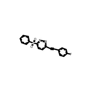 O=S(=O)(c1ccccc1)c1ccc(C#Cc2ccc(F)cc2)nn1